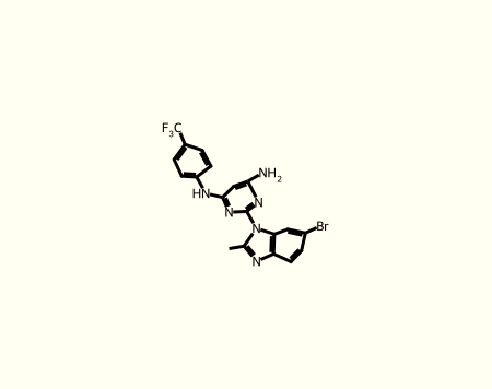 Cc1nc2ccc(Br)cc2n1-c1nc(N)cc(Nc2ccc(C(F)(F)F)cc2)n1